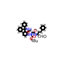 CC(C)(C)OC(=O)N[C@H](CC(=O)NC(c1ccccc1)(c1ccccc1)c1ccccc1)C(=O)NC(C=O)CCc1ccccc1